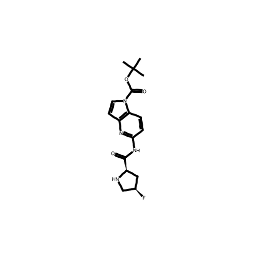 CC(C)(C)OC(=O)n1ccc2nc(NC(=O)[C@H]3C[C@@H](F)CN3)ccc21